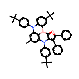 Cc1cc2c3c(c1)N(c1ccc(C(C)(C)C)cc1)c1c(oc(-c4ccccc4)c1-c1ccccc1)B3c1cc(C(C)(C)C)ccc1N2c1ccc(C(C)(C)C)cc1